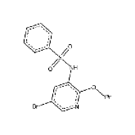 CC(C)Oc1ncc(Br)cc1NS(=O)(=O)c1ccccc1